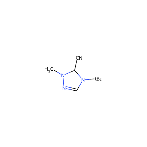 CN1N=CN(C(C)(C)C)C1C#N